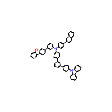 c1cc(-c2ccc(N(c3ccc(-c4ccc5ccccc5c4)cc3)c3cccc(-c4ccc5c(c4)oc4ccccc45)c3)cc2)cc(-c2ccc(-n3c4ccccc4c4ccccc43)cc2)c1